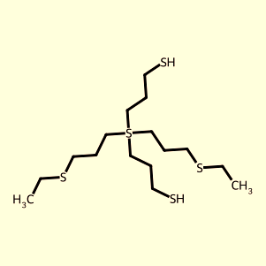 CCSCCCS(CCCS)(CCCS)CCCSCC